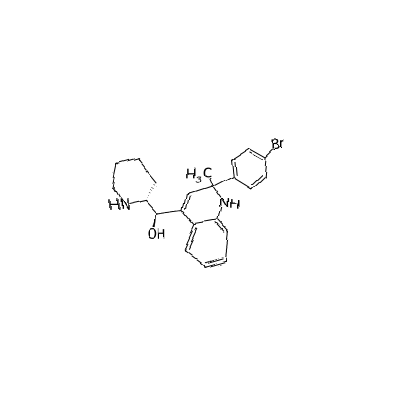 CC1(c2ccc(Br)cc2)C=C([C@@H](O)[C@H]2CCCCN2)c2ccccc2N1